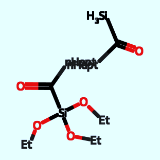 CCCCCCCC(=O)[SiH3].CCCCCCCC(=O)[Si](OCC)(OCC)OCC